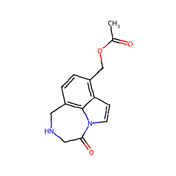 CC(=O)OCc1ccc2c3c1ccn3C(=O)CNC2